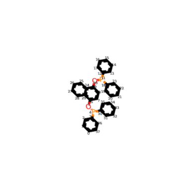 c1ccc(P(Oc2ccc(OP(c3ccccc3)c3ccccc3)c3ccccc23)c2ccccc2)cc1